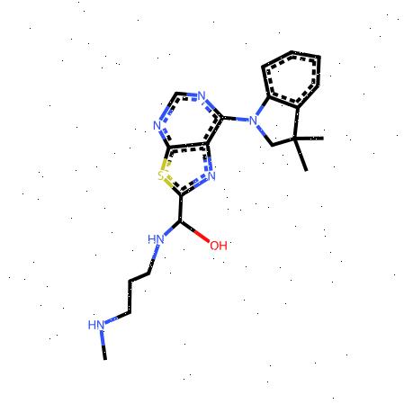 CNCCCNC(O)c1nc2c(N3CC(C)(C)c4ccccc43)ncnc2s1